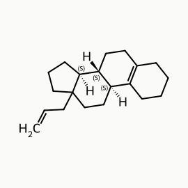 C=CCC12CCC[C@H]1[C@@H]1CCC3=C(CCCC3)[C@H]1CC2